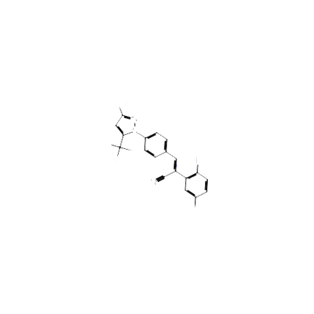 Cc1cc(C(F)(F)F)n(-c2ccc(/C=C(\C#N)c3cc(F)ccc3F)cc2)n1